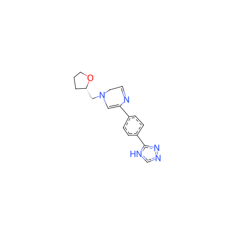 C1=NC(c2ccc(-c3nnc[nH]3)cc2)=CN(C[C@@H]2CCCO2)C1